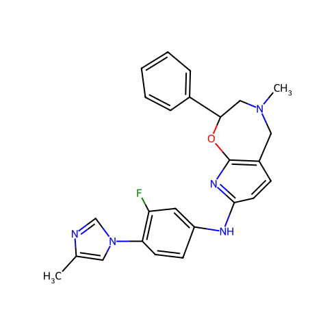 Cc1cn(-c2ccc(Nc3ccc4c(n3)OC(c3ccccc3)CN(C)C4)cc2F)cn1